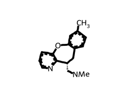 CNC[C@H]1Cc2ccc(C)cc2Oc2cccnc21